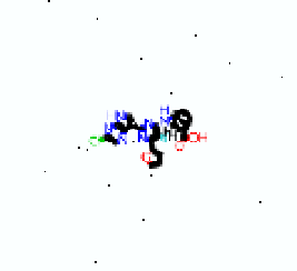 O=C(O)[C@H]1C2CCC(CC2)[C@@H]1Nc1nc(-c2c[nH]c3nc(Cl)cnc23)nc(-c2ccco2)c1F